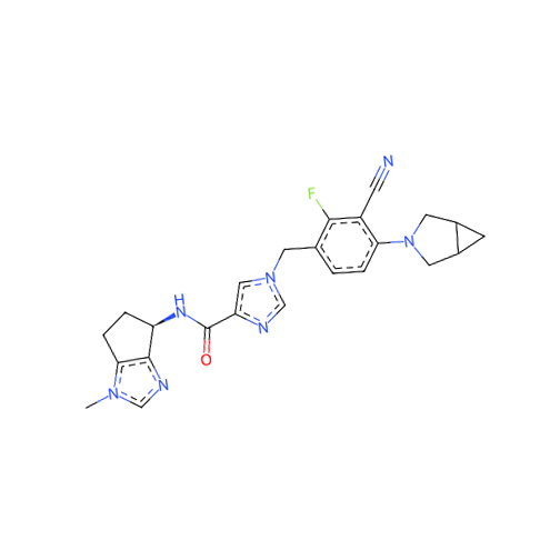 Cn1cnc2c1CC[C@H]2NC(=O)c1cn(Cc2ccc(N3CC4CC4C3)c(C#N)c2F)cn1